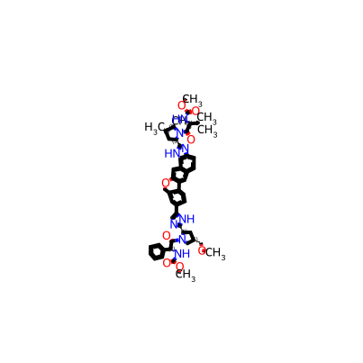 COC[C@H]1C[C@@H](c2ncc(-c3ccc4c(c3)COc3cc5c(ccc6nc([C@@H]7C[C@H](C)[C@H](C)N7C(=O)[C@@H](NC(=O)OC)C(C)C)[nH]c65)cc3-4)[nH]2)N(C(=O)[C@H](NC(=O)OC)c2ccccc2)C1